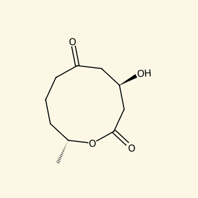 C[C@@H]1CCCC(=O)C[C@@H](O)CC(=O)O1